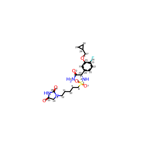 NC(=O)[C@@H](NS(=O)(=O)CCCCCN1CC(=O)NC1=O)c1ccc(F)c(OCC2CC2)c1